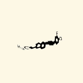 C/C=C/C1CCc2cc(C#Cc3ccc(Cl)c(F)c3)ccc2C1